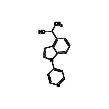 CC(O)c1cccc2c1ccn2-c1ccncc1